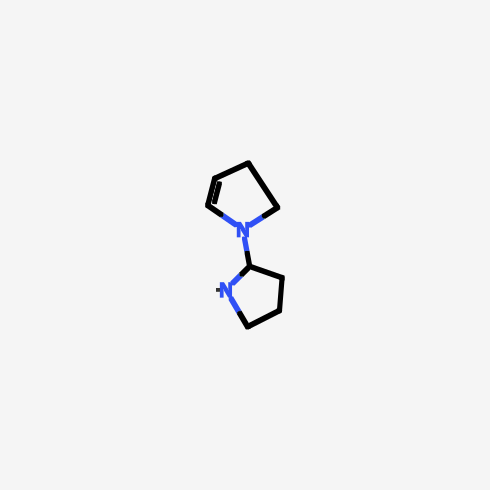 C1=CN(C2CCC[N]2)CC1